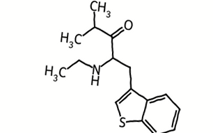 CCNC(Cc1csc2ccccc12)C(=O)C(C)C